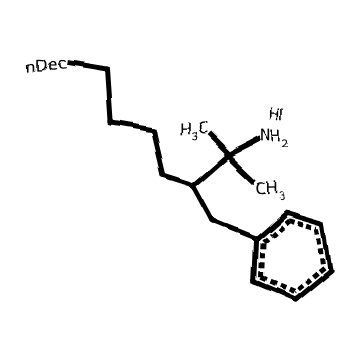 CCCCCCCCCCCCCCC(Cc1ccccc1)C(C)(C)N.I